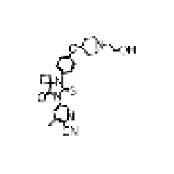 Cc1cc(N2C(=O)C3(CCC3)N(c3ccc(OC4CCN(CCO)CC4)cc3)C2=S)cnc1C#N